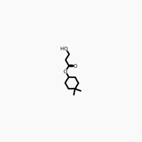 CC1(C)CCC(OC(=O)CCO)CC1